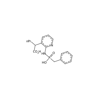 CCCC(C(=O)O)c1cccnc1NP(=O)(O)Cc1ccccc1